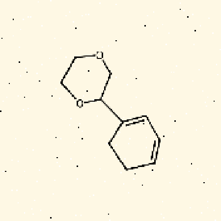 C1=CCCC(C2COCCO2)=C1